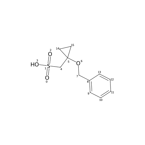 O=S(=O)(O)CC1(OCc2ccccc2)CC1